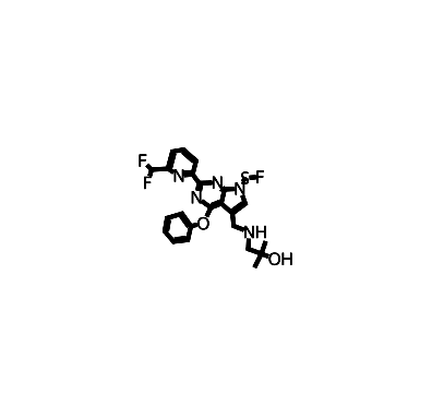 CC(C)(O)CNCc1cn(SF)c2nc(-c3cccc(C(F)F)n3)nc(Oc3ccccc3)c12